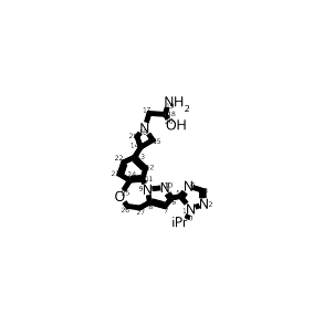 CC(C)n1ncnc1-c1cc2n(n1)-c1cc(C3CN(CC(N)O)C3)ccc1OCC2